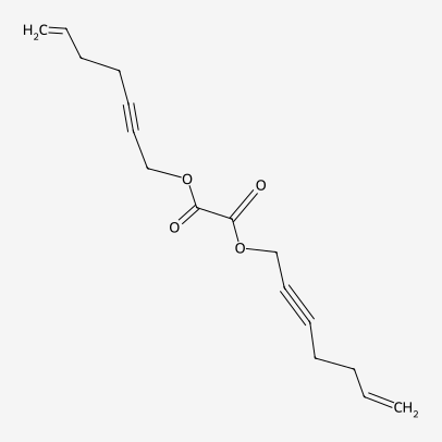 C=CCCC#CCOC(=O)C(=O)OCC#CCCC=C